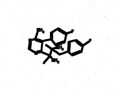 CC(N)(Cc1ccc(F)cc1)C(C)(N)c1ncnc(N)c1-c1ccc(F)cc1